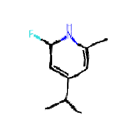 CC1=CC(C(C)C)=CC(F)N1